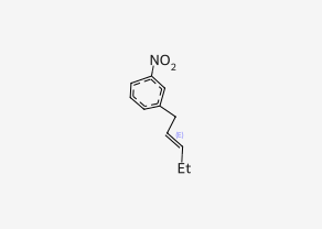 CC/C=C/Cc1cccc([N+](=O)[O-])c1